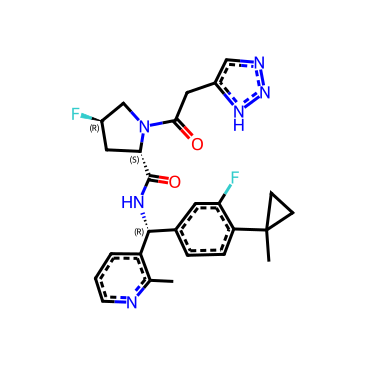 Cc1ncccc1[C@H](NC(=O)[C@@H]1C[C@@H](F)CN1C(=O)Cc1cnn[nH]1)c1ccc(C2(C)CC2)c(F)c1